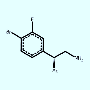 CC(=O)[C@H](CN)c1ccc(Br)c(F)c1